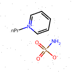 CCC[n+]1ccccc1.NS(=O)(=O)[O-]